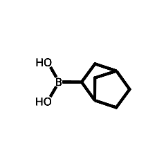 OB(O)C1CC2CCC1C2